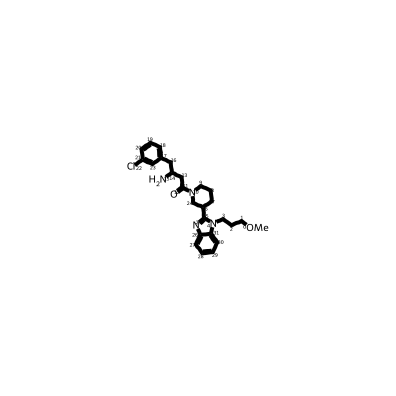 COCCCn1c(C2CCCN(C(=O)CC(N)Cc3cccc(Cl)c3)C2)nc2ccccc21